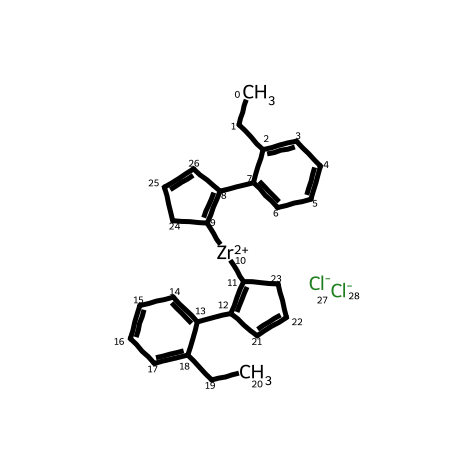 CCc1ccccc1C1=[C]([Zr+2][C]2=C(c3ccccc3CC)C=CC2)CC=C1.[Cl-].[Cl-]